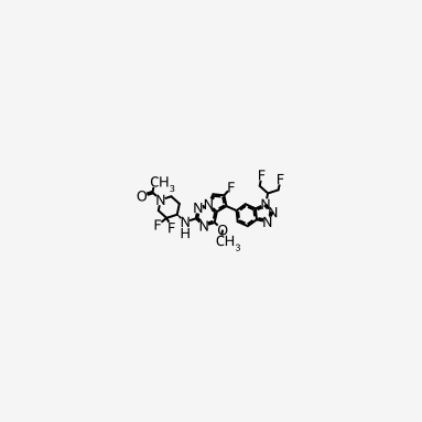 COc1nc(N[C@@H]2CCN(C(C)=O)CC2(F)F)nn2cc(F)c(-c3ccc4nnn(C(CF)CF)c4c3)c12